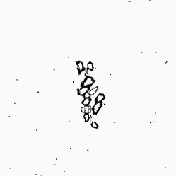 c1ccc(N(c2ccccc2)c2ccc3c(ccc4c5cc6c(cc5oc34)B3c4c(cccc4N(c4ccccc4)c4ccc5ccccc5c43)O6)c2)cc1